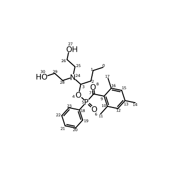 CCCC(OP(=O)(C(=O)c1c(C)cc(C)cc1C)c1ccccc1)N(CCO)CCO